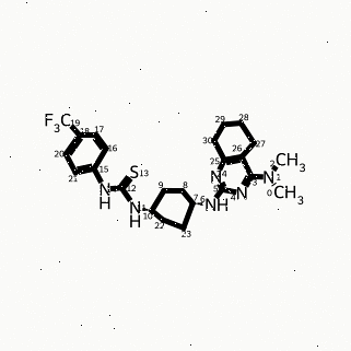 CN(C)c1nc(N[C@H]2CC[C@@H](NC(=S)Nc3ccc(C(F)(F)F)cc3)CC2)nc2c1CCCC2